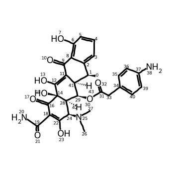 C[C@@H]1c2cccc(O)c2C(=O)C2=C(O)[C@@]3(O)C(=O)C(C(N)=O)=C(O)[C@H](N(C)C)[C@@H]3[C@H](OC(=O)Cc3ccc(N)cc3)[C@@H]21